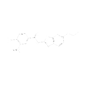 CCOc1ccc2nc(NC(=O)c3ccc(Cl)c([N+](=O)[O-])c3)sc2c1